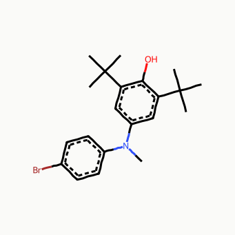 CN(c1ccc(Br)cc1)c1cc(C(C)(C)C)c(O)c(C(C)(C)C)c1